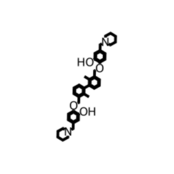 Cc1c(COc2ccc(CN3CCCCC3)cc2O)cccc1-c1cccc(COc2ccc(CN3CCCCC3)cc2O)c1C